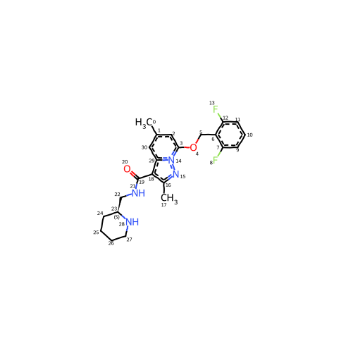 Cc1cc(OCc2c(F)cccc2F)n2nc(C)c(C(=O)NC[C@@H]3CCCCN3)c2c1